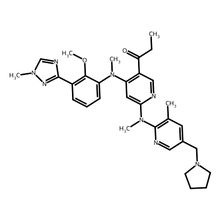 CCC(=O)c1cnc(N(C)c2ncc(CN3CCCC3)cc2C)cc1N(C)c1cccc(-c2ncn(C)n2)c1OC